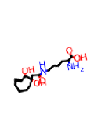 N[C@@H](CCCCNC(=O)CC1(O)CCCC/C=C/C1O)C(=O)O